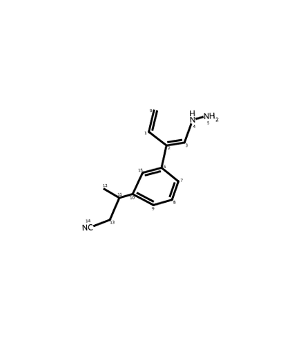 C=C/C(=C\NN)c1cccc(C(C)CC#N)c1